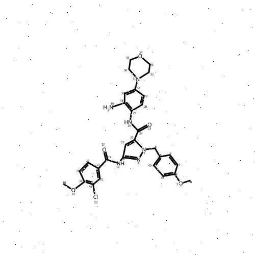 COc1ccc(Cn2nc(NC(=O)c3ccc(OC)c(Cl)c3)cc2C(=O)Nc2ccc(N3CCOCC3)cc2N)cc1